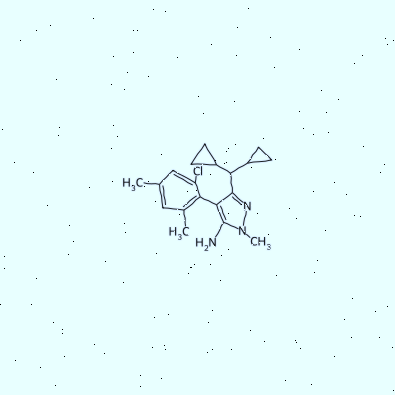 Cc1cc(C)c(-c2c(C(C3CC3)C3CC3)nn(C)c2N)c(Cl)c1